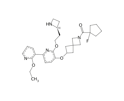 CCOc1ncccc1-c1ccc(OC2CC3(C2)CN(C(=O)C2(F)CCCC2)C3)c(OCC[C@@H]2CCN2)n1